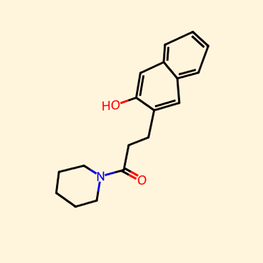 O=C(CCc1cc2ccccc2cc1O)N1CCCCC1